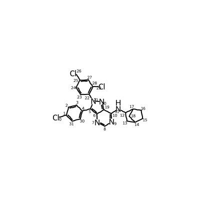 Clc1ccc(-c2c3ncnc(NC4CC5CCC4C5)c3nn2-c2ccc(Cl)cc2Cl)cc1